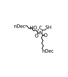 CCCCCCCCCCCCCCCC(=O)N(C(=O)CCCCCCCCCCCCCCC)[C@@H](CS)C(=O)O